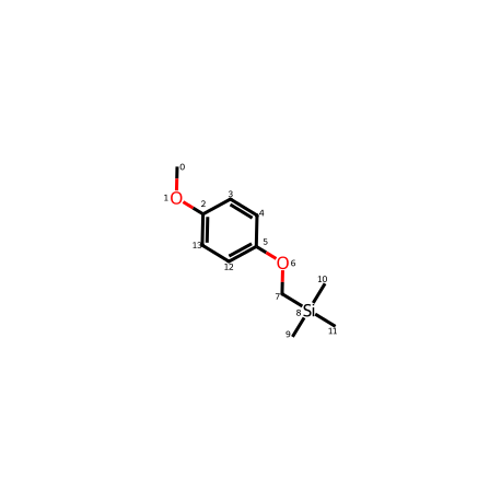 COc1ccc(OC[Si](C)(C)C)cc1